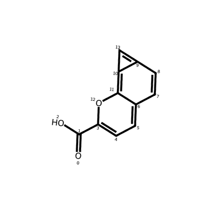 O=C(O)C1=CC=c2ccc3c(c2O1)C=3